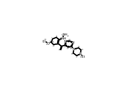 C=C(C1=C(NN)CC[C@H](OCC)C1)c1cc(N2CCN(CC)CC2)ncn1